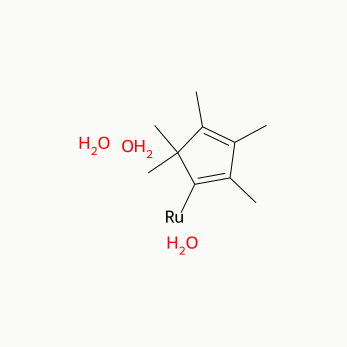 CC1=C(C)C(C)(C)[C]([Ru])=C1C.O.O.O